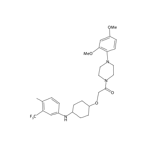 COc1ccc(N2CCN(C(=O)COC3CCC(Nc4ccc(C)c(C(F)(F)F)c4)CC3)CC2)c(OC)c1